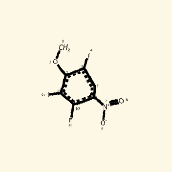 COc1c(I)cc([N+](=O)[O-])c(F)c1I